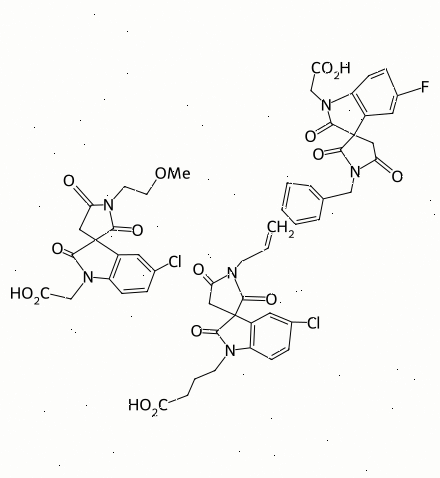 C=CCN1C(=O)CC2(C1=O)C(=O)N(CCCC(=O)O)c1ccc(Cl)cc12.COCCN1C(=O)CC2(C1=O)C(=O)N(CC(=O)O)c1ccc(Cl)cc12.O=C(O)CN1C(=O)C2(CC(=O)N(Cc3ccccc3)C2=O)c2cc(F)ccc21